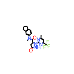 Cc1cc(C(F)(F)F)nc(N2NC(=O)CC2C(=O)N(C)c2ccc3c(c2)CCC3)n1